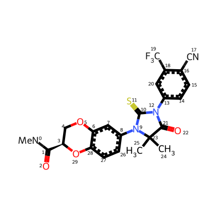 CNC(=O)[C@H]1COc2cc(N3C(=S)N(c4ccc(C#N)c(C(F)(F)F)c4)C(=O)C3(C)C)ccc2O1